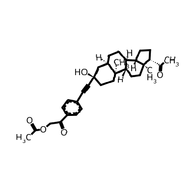 CC(=O)OCC(=O)c1ccc(C#C[C@@]2(O)CC[C@@]3(C)[C@H](CC[C@@H]4[C@@H]3CC[C@]3(C)[C@@H](C(C)=O)CC[C@@H]43)C2)cc1